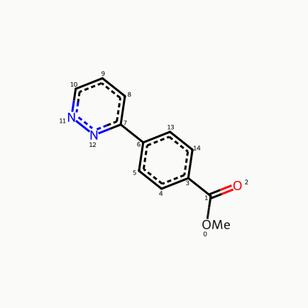 COC(=O)c1ccc(-c2cccnn2)cc1